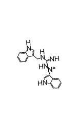 C=[N+](NC(=N)NCc1c[nH]c2ccccc12)c1c[nH]c2ccccc12